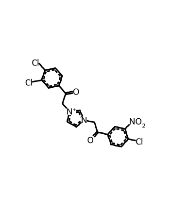 O=C(Cn1cc[n+](CC(=O)c2ccc(Cl)c(Cl)c2)c1)c1ccc(Cl)c([N+](=O)[O-])c1